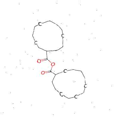 O=C(OC(=O)C1CCCCCCCCCCC1)C1CCCCCCCCCCC1